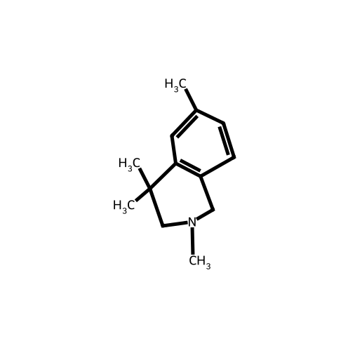 Cc1ccc2c(c1)C(C)(C)CN(C)C2